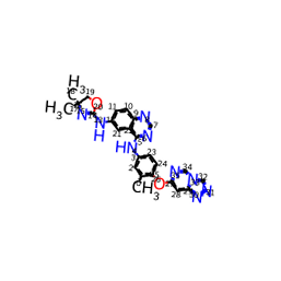 Cc1cc(Nc2ncnc3ccc(NC4=NC(C)(C)CO4)cc23)ccc1Oc1cc2nncn2cn1